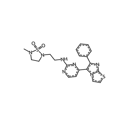 CN1CCN(CCNc2nccc(-c3c(-c4ccccc4)nc4sccn34)n2)S1(=O)=O